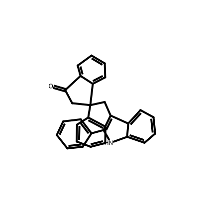 O=C1CC(Cc2c(-c3ccccc3)[nH]c3ccccc23)(c2ccccc2)c2ccccc21